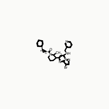 CC1C(c2cc(NCc3cccnc3)n3ncc(Br)c3n2)CCCN1C(=O)[C@@H]1C[C@H]1c1ccccc1